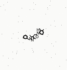 Cc1cccc(NC(=O)Cc2c(C)nn(Cc3ccccc3)c2C)c1C